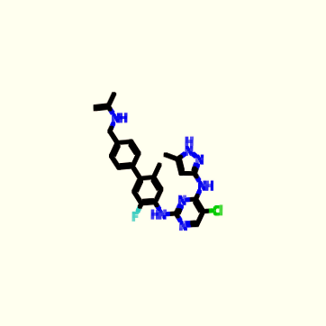 C=C(C)NCc1ccc(-c2cc(F)c(Nc3ncc(Cl)c(Nc4cc(C)[nH]n4)n3)cc2C)cc1